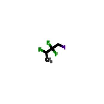 FC(C(F)(F)F)C(F)(F)CI